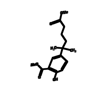 COC(=O)CCCC(C)(C)c1ccc(O)c(C(=O)OC)c1